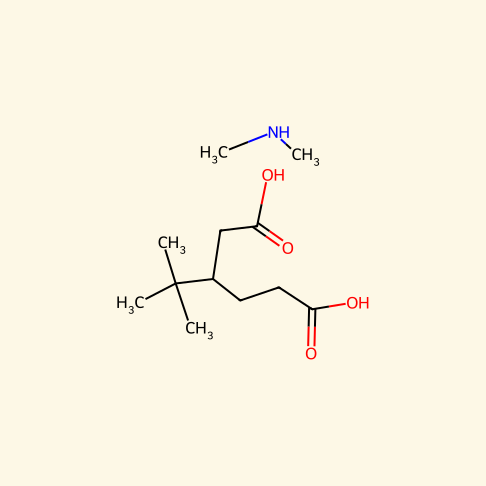 CC(C)(C)C(CCC(=O)O)CC(=O)O.CNC